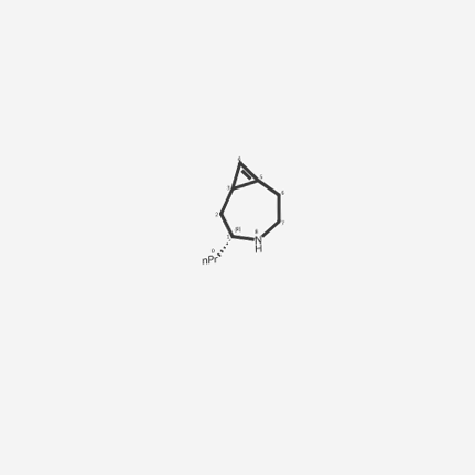 CCC[C@@H]1CC2C=C2CCN1